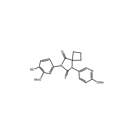 COc1ccc(N2C(=S)N(c3ccc(C#N)c(OC)c3)C(=O)C23CCC3)cn1